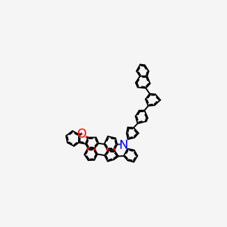 c1ccc(-c2ccc(-c3ccccc3N(c3ccc(-c4ccc(-c5cccc(-c6ccc7ccccc7c6)c5)cc4)cc3)c3ccc(-c4ccc5c(c4)oc4ccccc45)cc3)cc2)cc1